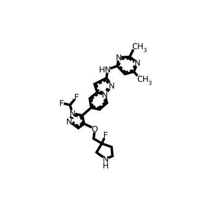 Cc1cc(Nc2cc3cc(-c4c(OCC5(F)CCNC5)cnn4C(F)F)ccn3n2)nc(C)n1